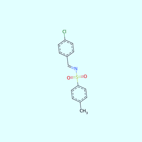 Cc1ccc(S(=O)(=O)N=Cc2ccc(Cl)cc2)cc1